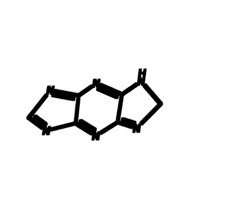 C1=Nc2nc3c(nc2=N1)NCN=3